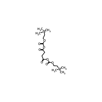 C[Si](C)(C)CCOC(=O)OC(=O)CCC(=O)OC(=O)OCC[Si](C)(C)C